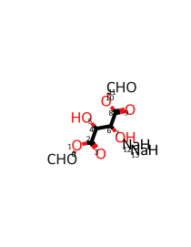 O=COC(=O)C(O)C(O)C(=O)OC=O.[NaH].[NaH]